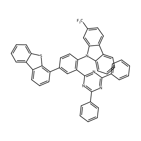 FC(F)(F)c1ccc2c3ccccc3n(-c3ccc(-c4cccc5c4sc4ccccc45)cc3-c3nc(-c4ccccc4)nc(-c4ccccc4)n3)c2c1